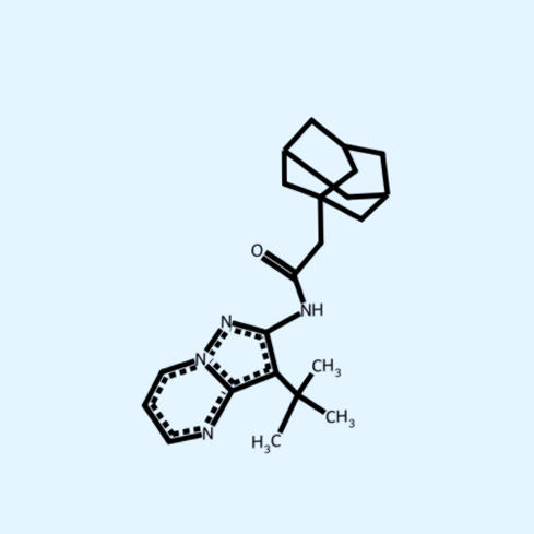 CC(C)(C)c1c(NC(=O)CC23CC4CC(CC(C4)C2)C3)nn2cccnc12